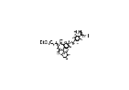 CCOC(=O)CCN1CC(=O)N(C2CCCCC2)c2ccc(OCc3ccc(C(=N)N)cc3)cc2C1=O